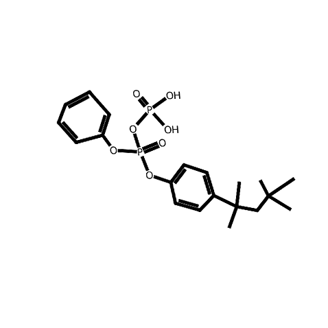 CC(C)(C)CC(C)(C)c1ccc(OP(=O)(Oc2ccccc2)OP(=O)(O)O)cc1